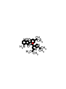 CC(C)c1ccc2c(c1)OC1(O)C3=CCCC(N)=C3C(=O)C21NC(=O)c1cc(C(C)C)nc2c1cnn2C(C)C